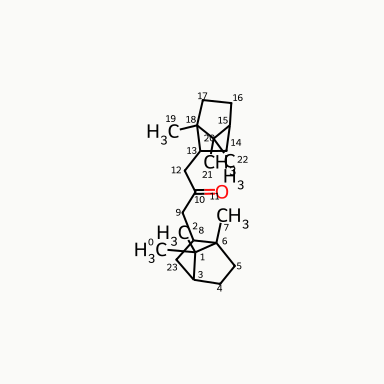 CC1(C)C2CCC1(C)C(CC(=O)CC1CC3CCC1(C)C3(C)C)C2